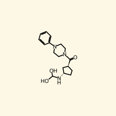 O=C([C@H]1CC[C@H](NC(O)O)C1)N1CCN(c2ccccc2)CC1